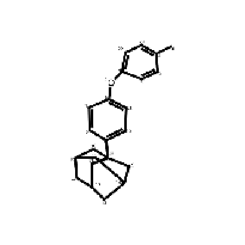 Cc1ccc(Oc2ccc(C34CC5CC(CC(C5)C3)C4)cc2)cc1